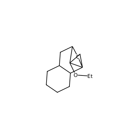 [CH2]COC12CC13CC2CC1CCCCC13